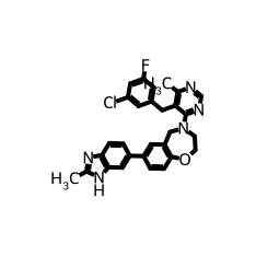 Cc1nc2ccc(-c3ccc4c(c3)CN(c3ncnc(C)c3Cc3cc(F)cc(Cl)c3)CCO4)cc2[nH]1